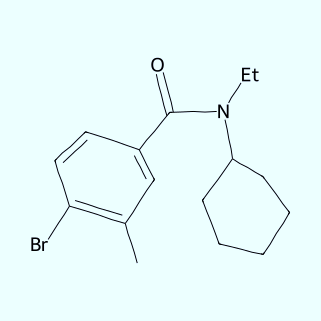 CCN(C(=O)c1ccc(Br)c(C)c1)C1CCCCC1